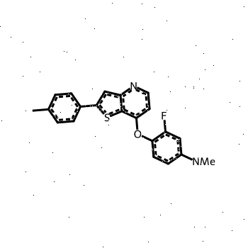 CNc1ccc(Oc2ccnc3cc(-c4ccc(C)cc4)sc23)c(F)c1